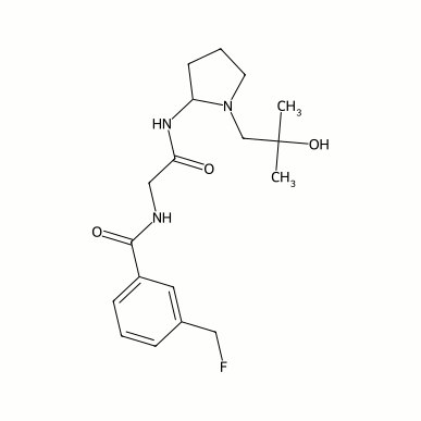 CC(C)(O)CN1CCCC1NC(=O)CNC(=O)c1cccc(CF)c1